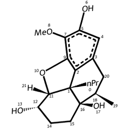 CCC[C@]12c3c4cc(O)c(OC)c3O[C@H]1[C@@H](O)CC[C@@]2(O)[C@H](C)C4